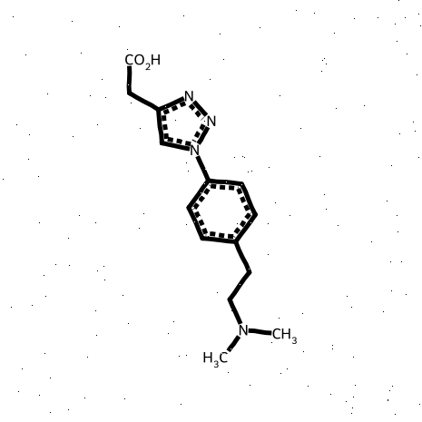 CN(C)CCc1ccc(-n2cc(CC(=O)O)nn2)cc1